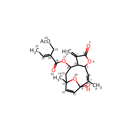 C=C1C(=O)OC2C=C(C)C3(O)C=CC(C)(CC(OC(=O)C(=CC)COC(C)=O)C12)O3